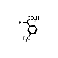 O=C(O)C(Br)c1cccc(C(F)(F)F)c1